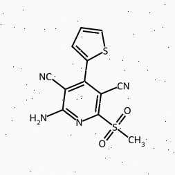 CS(=O)(=O)c1nc(N)c(C#N)c(-c2cccs2)c1C#N